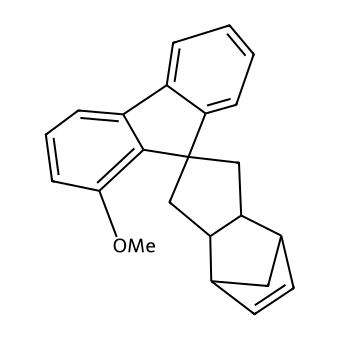 COc1cccc2c1C1(CC3C4C=CC(C4)C3C1)c1ccccc1-2